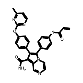 C=CC(=O)Nc1ccc(-c2c(-c3ccc(Oc4nccc(C)n4)cc3)c(C(N)=O)c3cnccn23)cc1